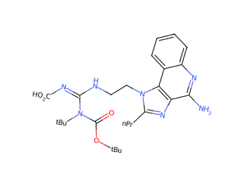 CCCc1nc2c(N)nc3ccccc3c2n1CCNC(=NC(=O)O)N(C(=O)OC(C)(C)C)C(C)(C)C